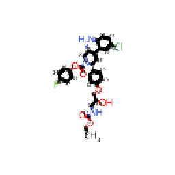 CCOC(=O)NC[C@H](O)COc1ccc([C@H]2C=C(C3C=C(Cl)C=CC3N)CCN2C(=O)Oc2ccc(F)cc2)cc1